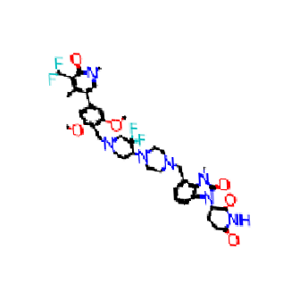 COc1cc(-c2cn(C)c(=O)c(C(F)F)c2C)cc(OC)c1CN1CCC(N2CCN(Cc3cccc4c3n(C)c(=O)n4C3CCC(=O)NC3=O)CC2)C(F)(F)C1